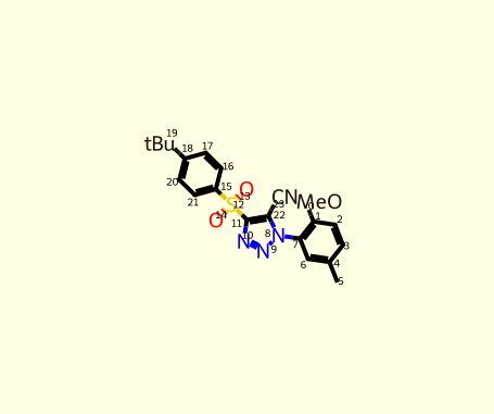 COc1ccc(C)cc1-n1nnc(S(=O)(=O)c2ccc(C(C)(C)C)cc2)c1C#N